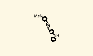 CNc1ccc(/C=N/N=C/c2ccc(Nc3ccccc3)cc2)cc1